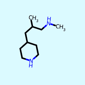 CNCC(C)CC1CCNCC1